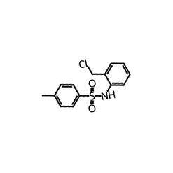 Cc1ccc(S(=O)(=O)Nc2ccccc2CCl)cc1